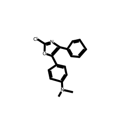 CN(C)c1ccc(-c2oc(Cl)nc2-c2ccccc2)cc1